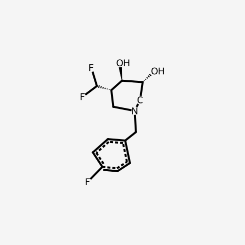 O[C@H]1[C@H](O)CN(Cc2ccc(F)cc2)C[C@@H]1C(F)F